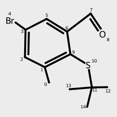 Cc1cc(Br)cc(C=O)c1SC(C)(C)C